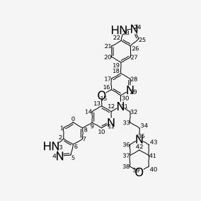 c1cc2[nH]ncc2cc1-c1cnc2c(c1)Oc1cc(-c3ccc4[nH]ncc4c3)cnc1N2CCCN1CC2COCC(C2)C1